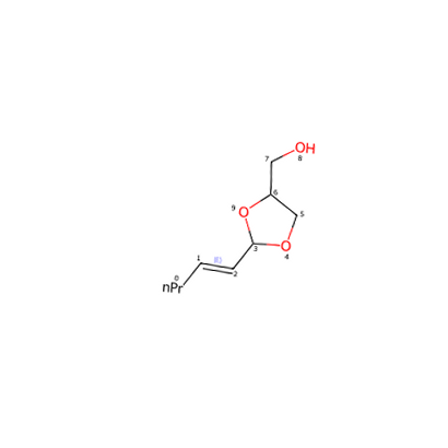 CCC/C=C/C1OCC(CO)O1